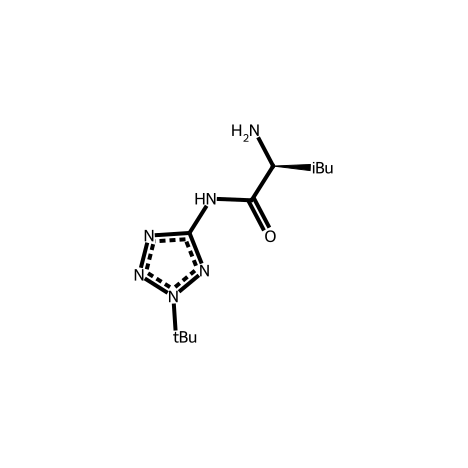 CCC(C)[C@H](N)C(=O)Nc1nnn(C(C)(C)C)n1